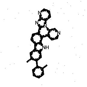 Cc1ccccc1-c1cc2[nH]c3c(ccc4c3c3ccncc3n3c5cccnc5nc43)c2cc1C